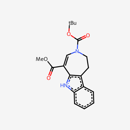 COC(=O)C1=CN(C(=O)OC(C)(C)C)CCc2c1[nH]c1ccccc21